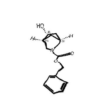 O=C(OCc1ccccc1)N1C[C@@H]2C[C@H]1C[C@H]2O